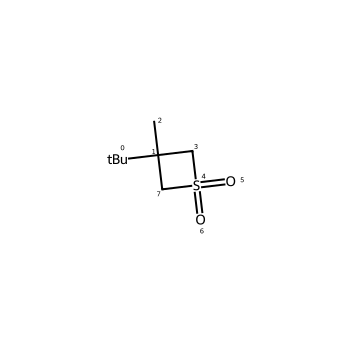 CC(C)(C)C1(C)CS(=O)(=O)C1